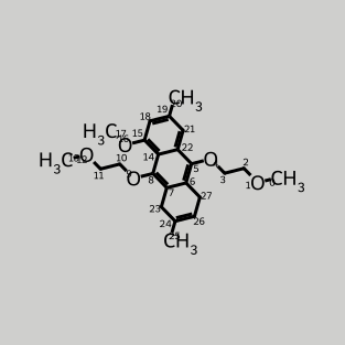 COCCOc1c2c(c(OCCOC)c3c(OC)cc(C)cc13)CC(C)=CC2